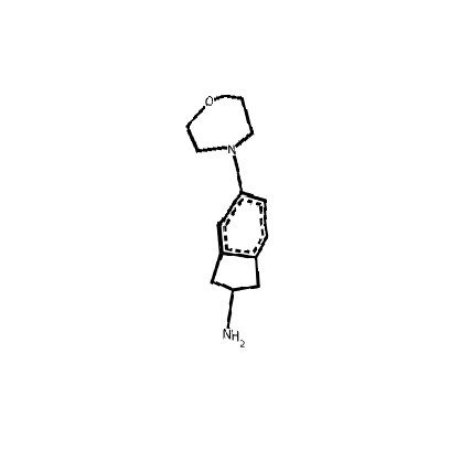 NC1Cc2ccc(N3CCOCC3)cc2C1